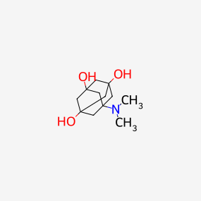 CN(C)C12CC3(O)CC(O)(CC(O)(C3)C1)C2